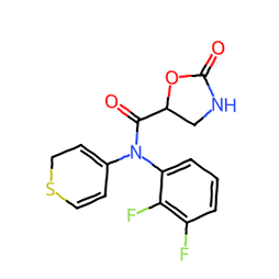 O=C1NCC(C(=O)N(C2=CCSC=C2)c2cccc(F)c2F)O1